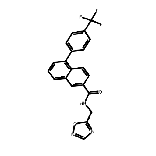 O=C(NCc1ncns1)c1ccc2c(-c3ccc(C(F)(F)F)cc3)cccc2c1